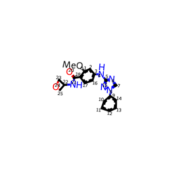 COc1cc(Nc2ncn(-c3ccccc3)n2)ccc1C(=O)NC1COC1